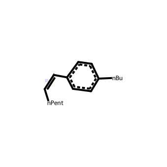 CCCCC/C=[C]\c1ccc(CCCC)cc1